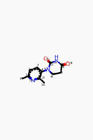 Cc1ccc(N2CCC(=O)NC2=O)c(C)n1